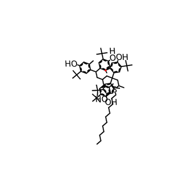 CCCCCCCCCCCCSC(C)CC(CC(CC(c1cc(C(C)(C)C)c(O)cc1C)c1cc(C(C)(C)C)c(O)cc1C)c1cc(C(C)(C)C)c(O)cc1C)(c1cc(C(C)(C)C)c(O)cc1C)c1cc(C(C)(C)C)c(O)cc1C